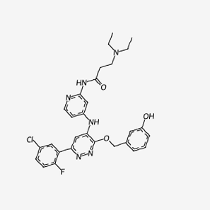 CCN(CC)CCC(=O)Nc1cc(Nc2cc(-c3cc(Cl)ccc3F)nnc2OCc2cccc(O)c2)ccn1